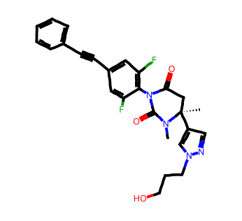 CN1C(=O)N(c2c(F)cc(C#Cc3ccccc3)cc2F)C(=O)C[C@@]1(C)c1cnn(CCCO)c1